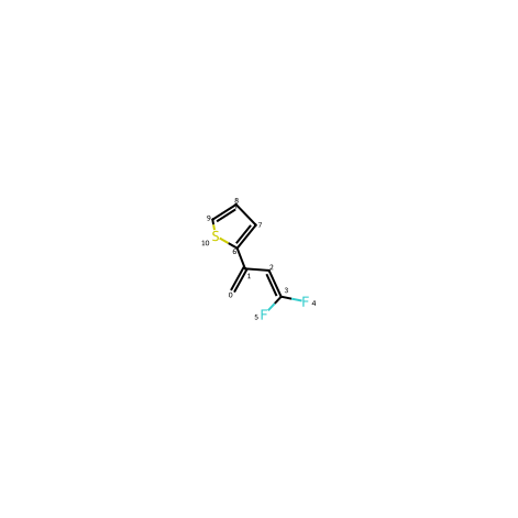 C=C(C=C(F)F)c1c[c]cs1